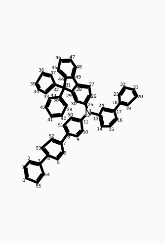 c1ccc(-c2ccc(-c3ccc(N(c4cccc(-c5ccccc5)c4)c4ccc5c(c4)C(c4ccccc4)(c4ccccc4)c4ccccc4-5)cc3)cc2)cc1